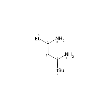 CCC(N)CC(N)C(C)(C)C